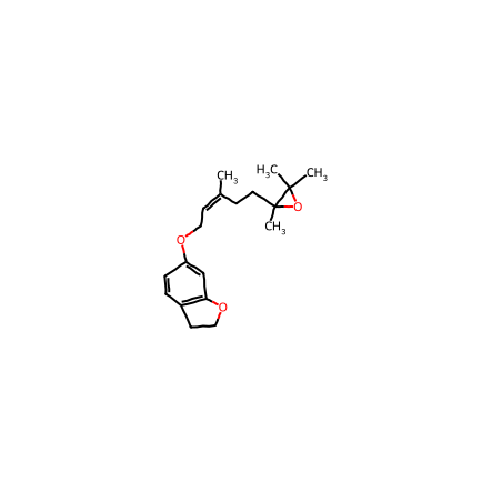 CC(=CCOc1ccc2c(c1)OCC2)CCC1(C)OC1(C)C